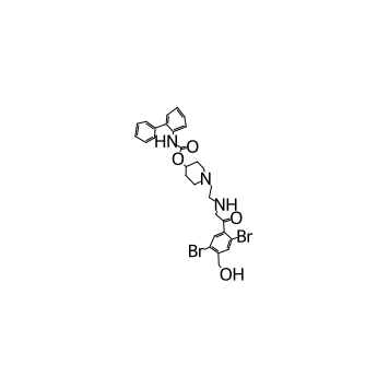 O=C(Nc1ccccc1-c1ccccc1)OC1CCN(CCNCC(=O)c2cc(Br)c(CO)cc2Br)CC1